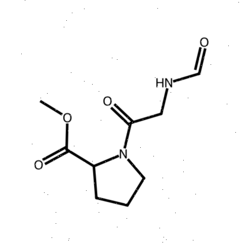 COC(=O)C1CCCN1C(=O)CNC=O